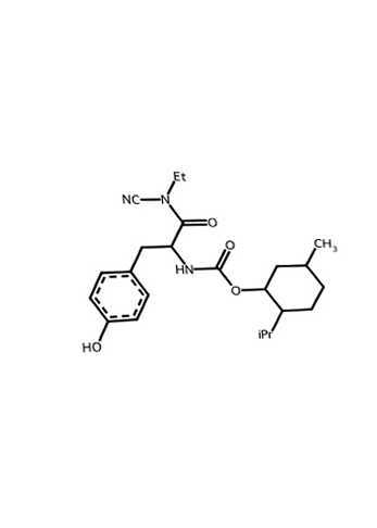 CCN(C#N)C(=O)C(Cc1ccc(O)cc1)NC(=O)OC1CC(C)CCC1C(C)C